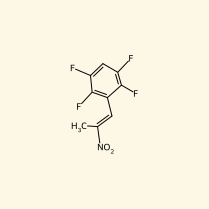 CC(=Cc1c(F)c(F)cc(F)c1F)[N+](=O)[O-]